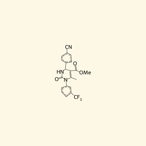 COC(=O)C1=C(C)N(c2cccc(C(F)(F)F)c2)C(=O)NC1c1ccc(C#N)cc1